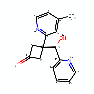 O=C1CC(c2cc(C(F)(F)F)ccn2)([C@H](O)c2ccccn2)C1